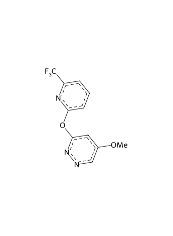 COc1cnnc(Oc2cccc(C(F)(F)F)n2)c1